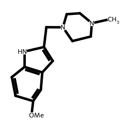 COc1ccc2[nH]c(CN3CCN(C)CC3)cc2c1